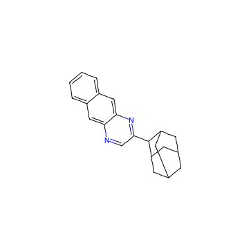 c1ccc2cc3nc(C4C5CC6CC(C5)CC4C6)cnc3cc2c1